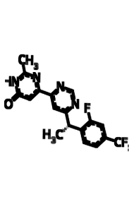 Cc1nc(-c2cc([C@@H](C)c3ccc(C(F)(F)F)cc3F)ncn2)cc(=O)[nH]1